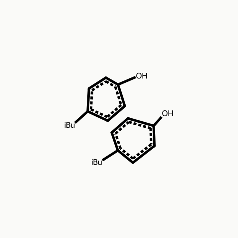 CCC(C)c1ccc(O)cc1.CCC(C)c1ccc(O)cc1